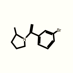 C=C(c1cccc(Br)c1)N1CCCC1C